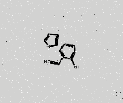 C=Cc1ccccc1O.c1cc[nH]c1